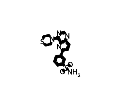 NS(=O)(=O)c1cccc(-c2ccc3ncnc(N4CCSCC4)c3n2)c1